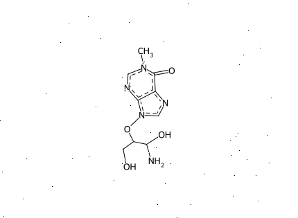 Cn1cnc2c(ncn2OC(CO)C(N)O)c1=O